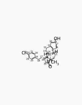 C[C@]12CC[C@@H]3c4ccc(O)cc4CC[C@H]3[C@@H]1[C@@H](CCc1ccc(Cl)cc1)CC2=O